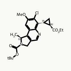 CCOC(=O)[C@@H]1C[C@H]1c1c(Cl)c(OC)cc2c3c(cnc12)CN(C(=O)OC(C)(C)C)[C@H]3C